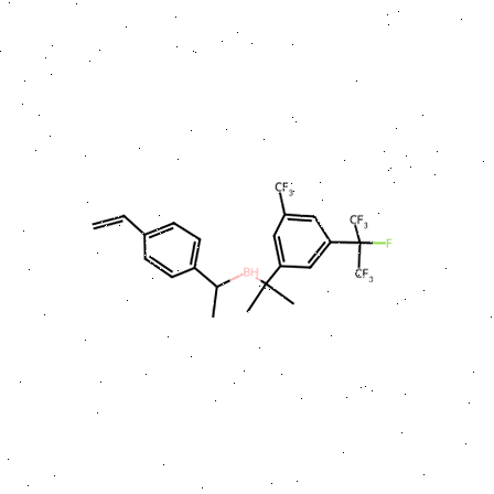 C=Cc1ccc(C(C)BC(C)(C)c2cc(C(F)(F)F)cc(C(F)(C(F)(F)F)C(F)(F)F)c2)cc1